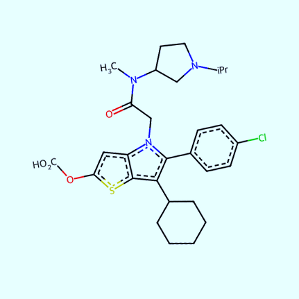 CC(C)N1CCC(N(C)C(=O)Cn2c(-c3ccc(Cl)cc3)c(C3CCCCC3)c3sc(OC(=O)O)cc32)C1